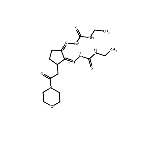 CCNC(=S)N/N=C1/CCC(CC(=O)N2CCOCC2)/C1=N/NC(=S)NCC